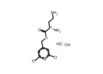 Cl.Cl.NCC[C@H](N)C(=O)OCc1cc(Cl)nc(Cl)c1